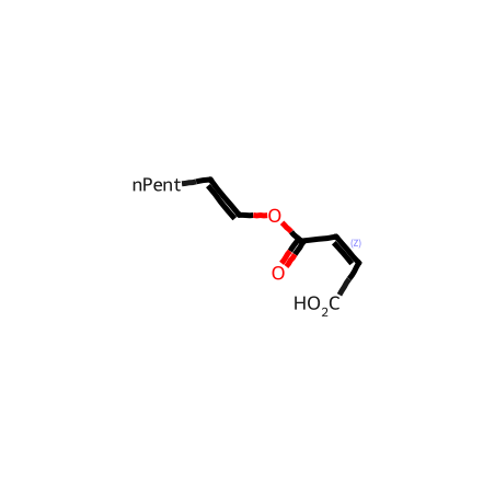 CCCCCC=COC(=O)/C=C\C(=O)O